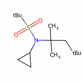 CC(C)(C)CC(C)(C)N(C1CC1)S(=O)(=O)C(C)(C)C